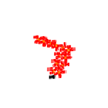 O=P(O)(O)OP(=O)(O)O.O=P(O)(O)OP(=O)(O)O.O=P(O)(O)OP(=O)(O)O.O=P(O)(O)OP(=O)(O)O.O=P(O)(O)OP(=O)(O)O.O=P(O)(O)OP(=O)(O)O.[NaH]